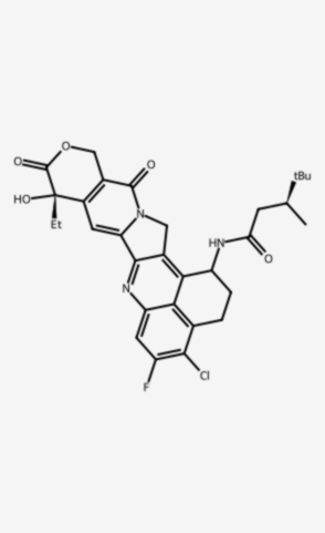 CC[C@@]1(O)C(=O)OCc2c1cc1n(c2=O)Cc2c-1nc1cc(F)c(Cl)c3c1c2C(NC(=O)C[C@H](C)C(C)(C)C)CC3